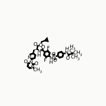 Cn1ccc(=O)n(-c2ccc(C[C@H](NC(=O)c3cc(F)c(NS(=O)(=O)c4ccc(NC(=O)C(C)(C)C)cc4)cc3F)C(=O)OCC3CC3)cn2)c1=O